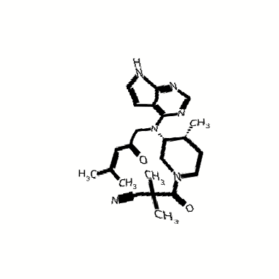 CC(C)=CC(=O)CN(c1ncnc2[nH]ccc12)[C@H]1CN(C(=O)C(C)(C)C#N)CC[C@H]1C